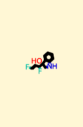 OC1(C(F)C=CF)CNc2ccccc21